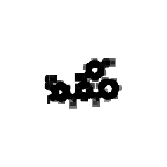 COc1ccc(Nc2nc(NC3CCCCCC3)nc(NC3CCN(O)CC3)n2)cc1F